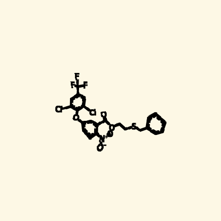 O=C(OCCSCc1ccccc1)c1cc(Oc2c(Cl)cc(C(F)(F)F)cc2Cl)ccc1[N+](=O)[O-]